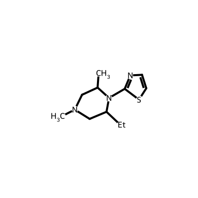 CCC1CN(C)CC(C)N1c1nccs1